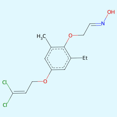 CCc1cc(OCC=C(Cl)Cl)cc(C)c1OCC=NO